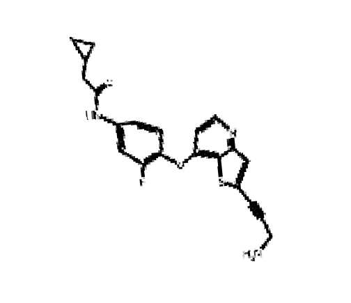 NCC#Cc1cc2nccc(Oc3ccc(NC(=O)CC4CC4)cc3F)c2s1